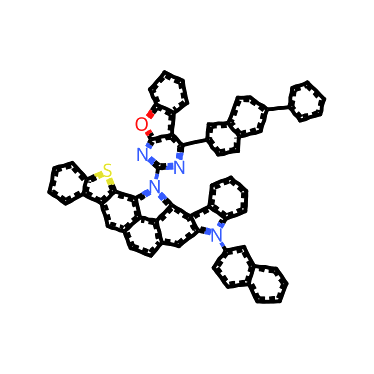 c1ccc(-c2ccc3cc(-c4nc(-n5c6c7sc8ccccc8c7cc7ccc8cc9c(c%10ccccc%10n9-c9ccc%10ccccc%10c9)c5c8c76)nc5oc6ccccc6c45)ccc3c2)cc1